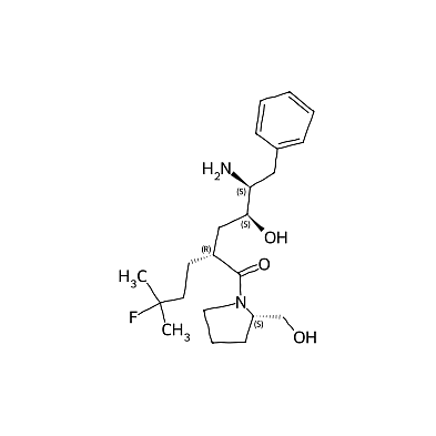 CC(C)(F)CC[C@H](C[C@H](O)[C@@H](N)Cc1ccccc1)C(=O)N1CCC[C@H]1CO